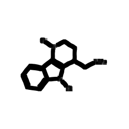 CCn1c2c(c3ccccc31)[S+]([O-])CCC2CNC